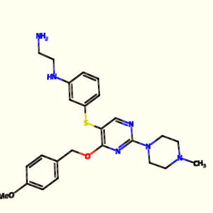 COc1ccc(COc2nc(N3CCN(C)CC3)ncc2Sc2cccc(NCCN)c2)cc1